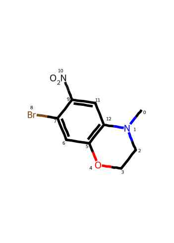 CN1CCOc2cc(Br)c([N+](=O)[O-])cc21